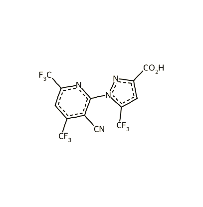 N#Cc1c(C(F)(F)F)cc(C(F)(F)F)nc1-n1nc(C(=O)O)cc1C(F)(F)F